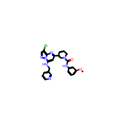 COc1cccc(NC(=O)N2CCCC(c3cc(NCc4cccnc4)n4ncc(Br)c4n3)C2)c1